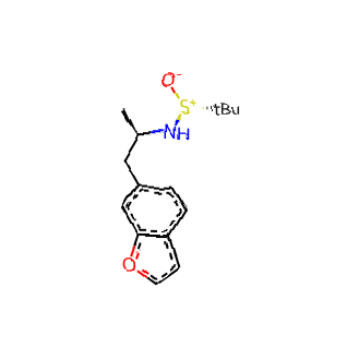 C[C@H](Cc1ccc2ccoc2c1)N[S@+]([O-])C(C)(C)C